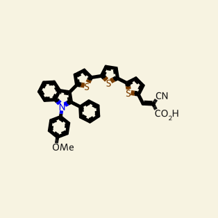 COc1ccc(-n2c(-c3ccccc3)c(-c3ccc(-c4ccc(-c5ccc(/C=C(\C#N)C(=O)O)s5)s4)s3)c3ccccc32)cc1